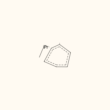 C[C](C)C.[c]1ccccc1